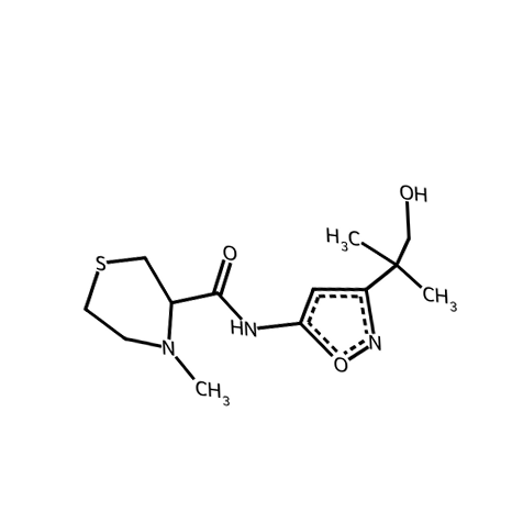 CN1CCSCC1C(=O)Nc1cc(C(C)(C)CO)no1